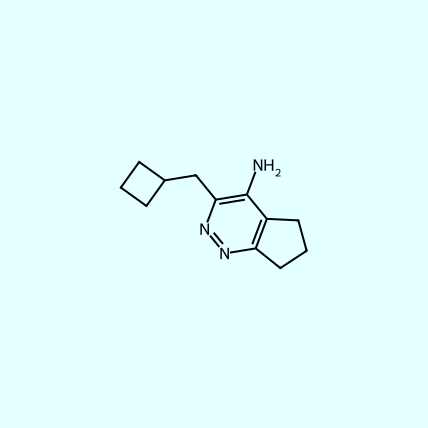 Nc1c(CC2CCC2)nnc2c1CCC2